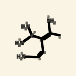 C/C(N)=C(\C=C/N)N(N)N